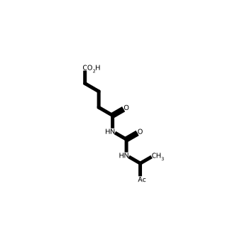 CC(=O)C(C)NC(=O)NC(=O)CCCC(=O)O